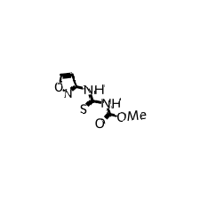 COC(=O)NC(=S)Nc1ccon1